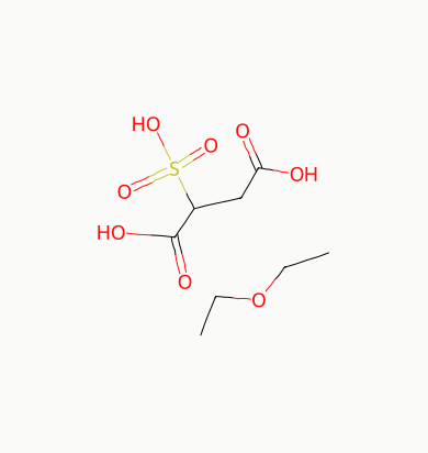 CCOCC.O=C(O)CC(C(=O)O)S(=O)(=O)O